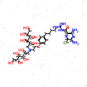 N=C(NCCCCc1ccc(OCCN(C[C@H](O)[C@@H](O)[C@H](O)[C@H](O)CO)C[C@H](O)[C@@H](O)[C@H](O)[C@H](O)CO)cc1)NC(=O)c1nc(Cl)c(N)nc1N